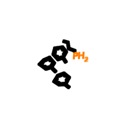 CCCCP.Cc1ccccc1.Cc1ccccc1.Cc1ccccc1